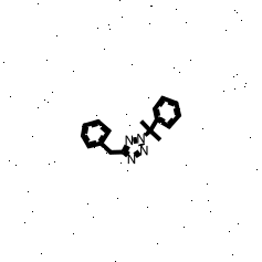 CC(C)(c1ccccc1)n1nnc(Cc2ccccc2)n1